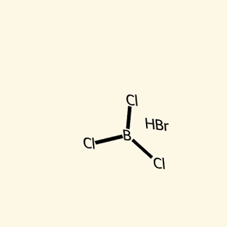 Br.ClB(Cl)Cl